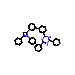 C1=CC(C2NC(c3ccccc3)NC(c3cccc(-c4cccc(C5C=C(c6ccccc6)N5c5ccccc5)c4)c3)N2)=CCC1